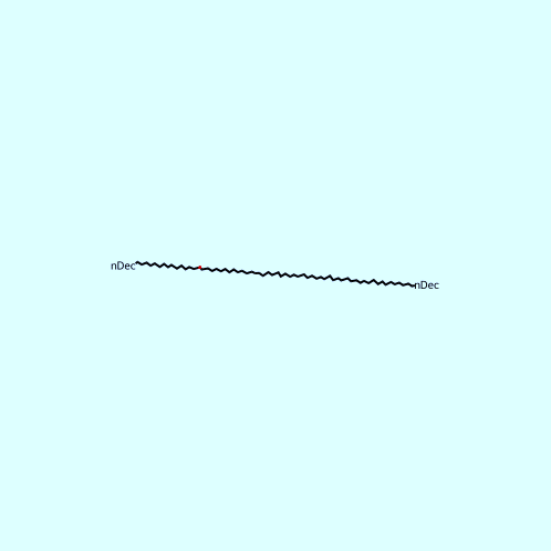 CCCCCCCCCCCCCCCCCCCCCCCCCCCCCCCCCCCCCCCCCCCCCCCCCCCCCCCCCCCCCCCCCCCCCCCCCCCCCCCCCCCC